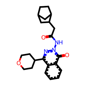 O=C(CC1CC2CCC1C2)Nn1nc(C2CCOCC2)c2ccccc2c1=O